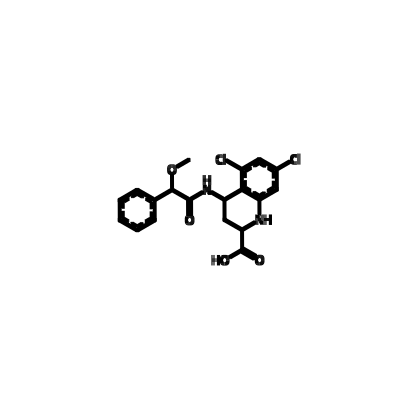 COC(C(=O)NC1CC(C(=O)O)Nc2cc(Cl)cc(Cl)c21)c1ccccc1